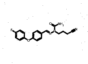 N#CCCCN(N=Cc1ccc(Oc2ccc(F)cc2)cc1)C(N)=O